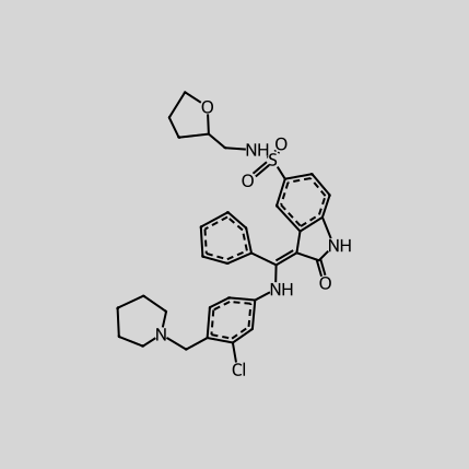 O=C1Nc2ccc(S(=O)(=O)NCC3CCCO3)cc2/C1=C(/Nc1ccc(CN2CCCCC2)c(Cl)c1)c1ccccc1